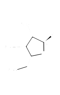 CC(=O)OC[C@H]1O[C@H](Cl)[C@@H](OC(C)=O)[C@H]1OC(C)=O